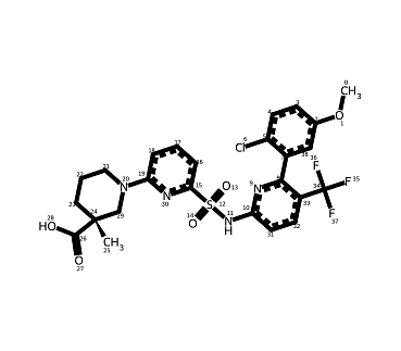 COc1ccc(Cl)c(-c2nc(NS(=O)(=O)c3cccc(N4CCC[C@@](C)(C(=O)O)C4)n3)ccc2C(F)(F)F)c1